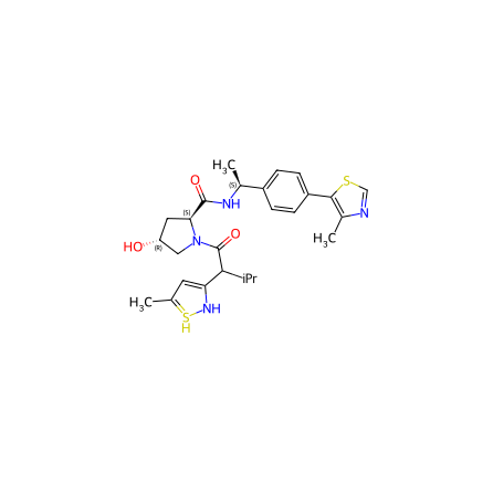 CC1=[SH]NC(C(C(=O)N2C[C@H](O)C[C@H]2C(=O)N[C@@H](C)c2ccc(-c3scnc3C)cc2)C(C)C)=C1